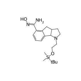 CC(C)(C)[Si](C)(C)OCCN1CCC2Cc3c(/C(N)=N/O)cccc3C21